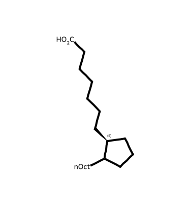 CCCCCCCCC1CCC[C@@H]1CCCCCCC(=O)O